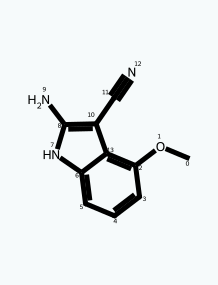 COc1cccc2[nH]c(N)c(C#N)c12